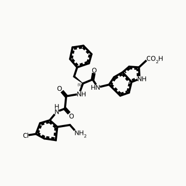 NCc1ccc(Cl)cc1NC(=O)C(=O)N[C@@H](Cc1ccccc1)C(=O)Nc1ccc2[nH]c(C(=O)O)cc2c1